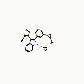 COC(=O)C1CC1c1cccc(-c2c(-c3ccsc3C#N)c3ccccc3n2S(=O)(=O)C2CC2)c1